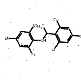 CCc1cc(CC)c(NC(C)c2c(Cl)cc(Cl)cc2Cl)c(CC)c1